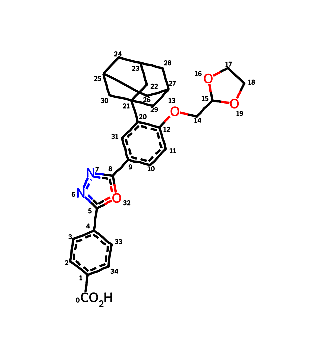 O=C(O)c1ccc(-c2nnc(-c3ccc(OCC4OCCO4)c(C45CC6CC(CC(C6)C4)C5)c3)o2)cc1